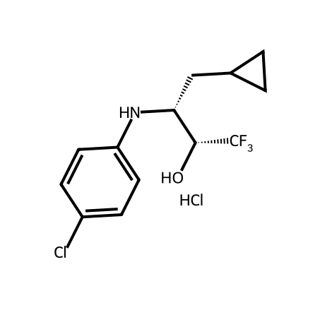 Cl.O[C@H]([C@@H](CC1CC1)Nc1ccc(Cl)cc1)C(F)(F)F